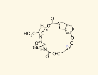 CC(C)(C)[C@@H]1NC(=O)OCC/C=C/COc2ccc3c(c2)CN(C3)C(=O)O[C@@H]2CC(C(=O)O)N(C2)C1=O